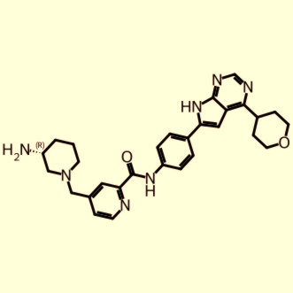 N[C@@H]1CCCN(Cc2ccnc(C(=O)Nc3ccc(-c4cc5c(C6CCOCC6)ncnc5[nH]4)cc3)c2)C1